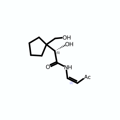 CC(=O)/C=C\NC(=O)[C@@H](O)C1(CO)CCCC1